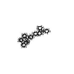 c1ccc(-n2c3ccccc3c3c4ccc(-c5ccc6c(c5)c5ccccc5n6-c5ncc6cccc7c6c5-c5ccccc5-7)cc4ccc32)cc1